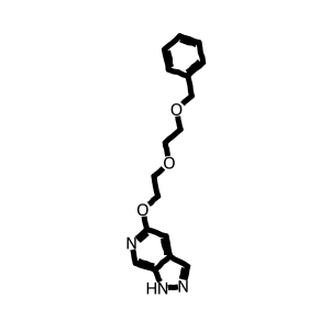 c1ccc(COCCOCCOc2cc3cn[nH]c3cn2)cc1